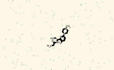 CCC(=O)N[C@H](CO)c1nc(N2CCN(C)CC2)ccc1F